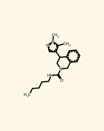 CCCCCNC(=O)N1Cc2ccccc2C(c2cnn(C)c2C)C1